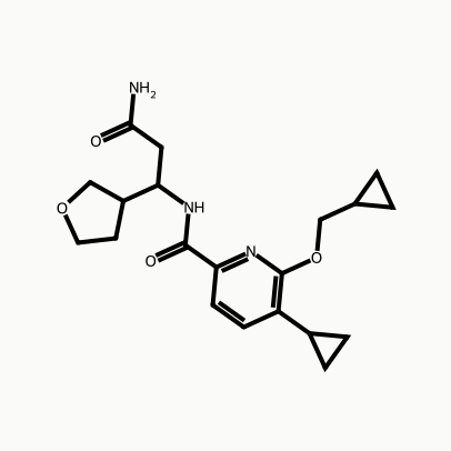 NC(=O)CC(NC(=O)c1ccc(C2CC2)c(OCC2CC2)n1)C1CCOC1